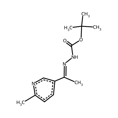 CC(=NNC(=O)OC(C)(C)C)c1ccc(C)nc1